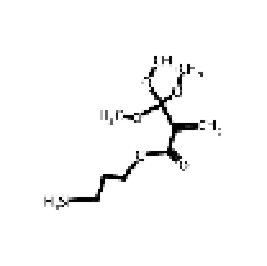 C=C(C(=O)OCCC[SiH3])C(OC)(OC)OC